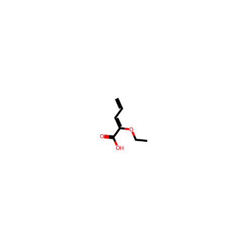 C=CC=C(OCC)C(=O)O